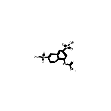 NC(=S)Nc1cc(S(=O)(=O)O)cc2cc(S(=O)(=O)O)ccc12